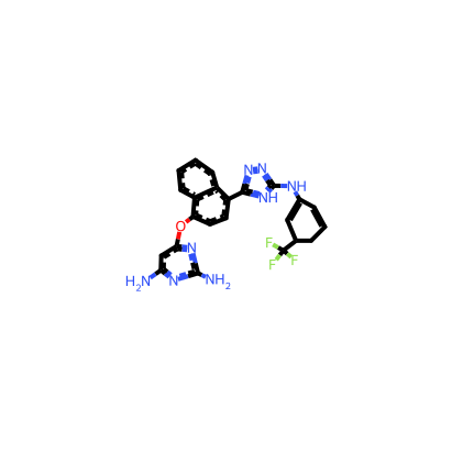 Nc1cc(Oc2ccc(-c3nnc(NC4=CC(C(F)(F)F)CC=C4)[nH]3)c3ccccc23)nc(N)n1